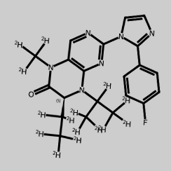 [2H]C([2H])([2H])N1C(=O)[C@H](C([2H])([2H])C([2H])([2H])[2H])N(C([2H])(C([2H])([2H])[2H])C([2H])([2H])[2H])c2nc(-n3ccnc3-c3ccc(F)cc3)ncc21